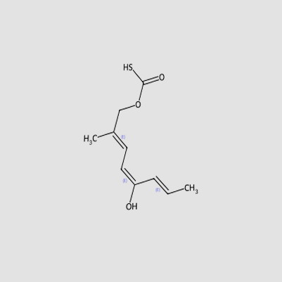 C/C=C/C(O)=C\C=C(/C)COC(=O)S